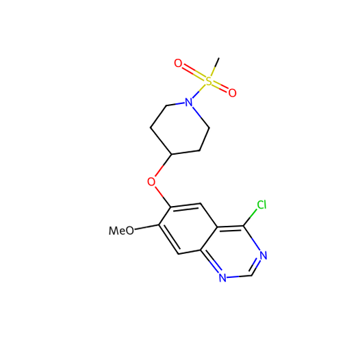 COc1cc2ncnc(Cl)c2cc1OC1CCN(S(C)(=O)=O)CC1